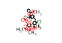 COCC1(Oc2ccc(Cc3cc([C@@H]4O[C@H](COC(C)=O)[C@@H](OC(C)=O)[C@H](OC(C)=O)[C@H]4OC(C)=O)ccc3Cl)cc2)CCCC1